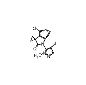 Cn1ncc(I)c1N1C(=O)C2(CC2)c2c(Cl)cccc21